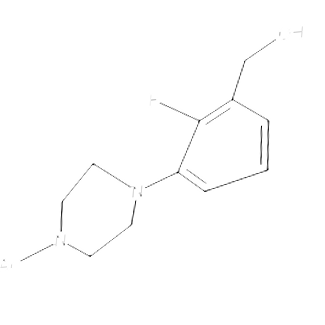 CC(=O)N1CCN(c2cccc(CO)c2F)CC1